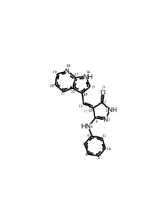 O=C1NN=C(Nc2ccccc2)/C1=C/c1c[nH]c2ncccc12